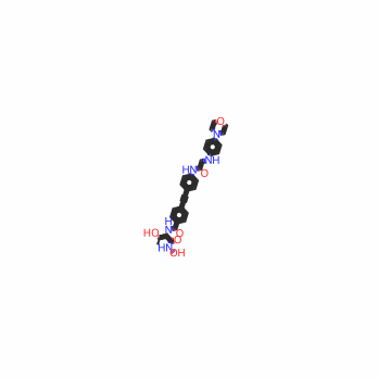 C[C@@H](O)[C@H](NC(=O)c1ccc(C#Cc2ccc(NC(=O)CNc3ccc(N4CCOCC4)cc3)cc2)cc1)C(=O)NO